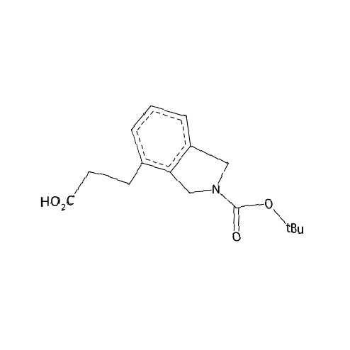 CC(C)(C)OC(=O)N1Cc2cccc(CCC(=O)O)c2C1